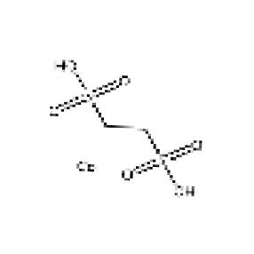 O=S(=O)(O)CCS(=O)(=O)O.[Co]